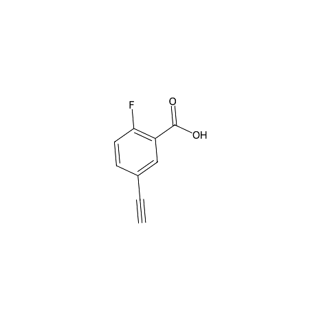 C#Cc1ccc(F)c(C(=O)O)c1